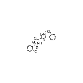 Cn1nc(C(=O)NS(=O)(=O)c2ccccc2Cl)nc1-c1ccccc1Cl